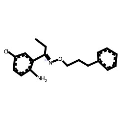 CC/C(=N\OCCCc1ccccc1)c1cc(Cl)ccc1N